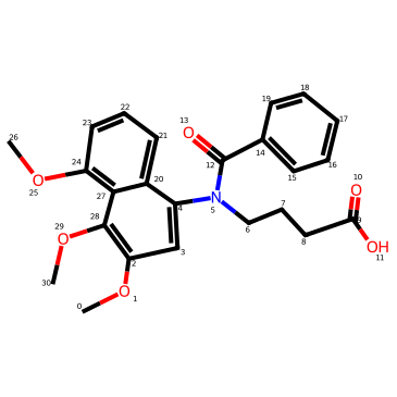 COc1cc(N(CCCC(=O)O)C(=O)c2ccccc2)c2cccc(OC)c2c1OC